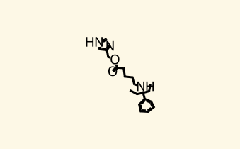 CCC(CC)(NCCCCC(=O)OCc1c[nH]cn1)c1ccccc1